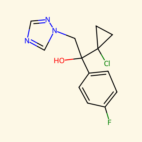 OC(Cn1cncn1)(c1ccc(F)cc1)C1(Cl)CC1